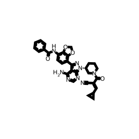 N#CC(=CC1CC1)C(=O)N1CCC[C@@H](n2nc(-c3ccc(NC(=O)c4ccccc4)c4c3OCO4)c3c(N)ncnc32)C1